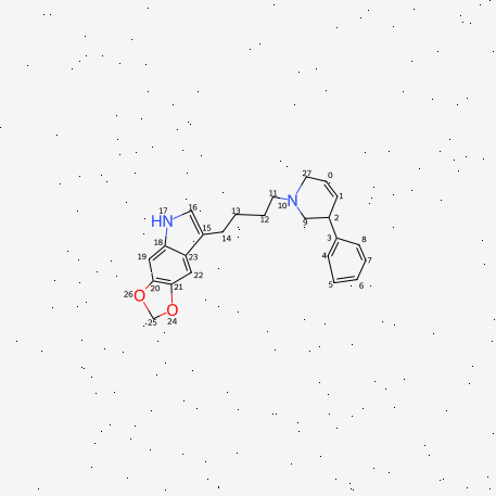 C1=CC(c2ccccc2)CN(CCCCc2c[nH]c3cc4c(cc23)OCO4)C1